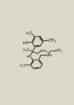 CCNCc1cccc(C)c1PC(C)(CC)c1cc(C)cc(C)c1O